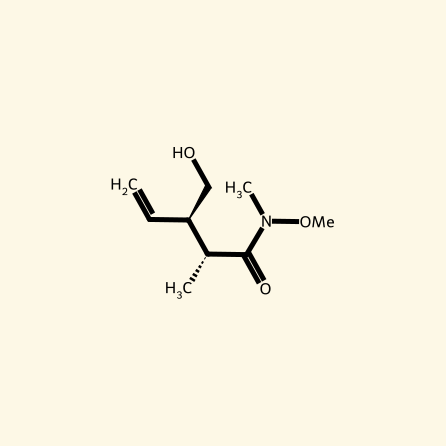 C=C[C@@H](CO)[C@@H](C)C(=O)N(C)OC